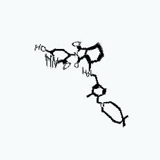 Cc1cc(CNc2cccc3c2C(=O)N(C2CCC(O)NC2=O)C3=O)ccc1CN1CCC(C)(C)CC1